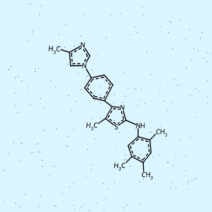 Cc1cn(-c2ccc(-c3nc(Nc4cc(C)c(C)cc4C)sc3C)cc2)cn1